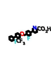 O=C(O)c1ccc(-c2ccc(COc3ccc(-c4ccccc4F)c(C(F)(F)F)c3)c(F)c2)cn1